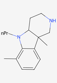 CCCN1c2c(C)cccc2C2(C)CNCCC12